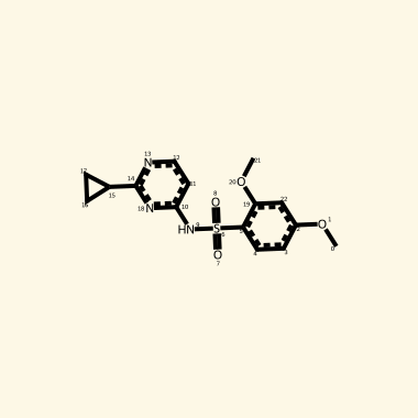 COc1ccc(S(=O)(=O)Nc2ccnc(C3CC3)n2)c(OC)c1